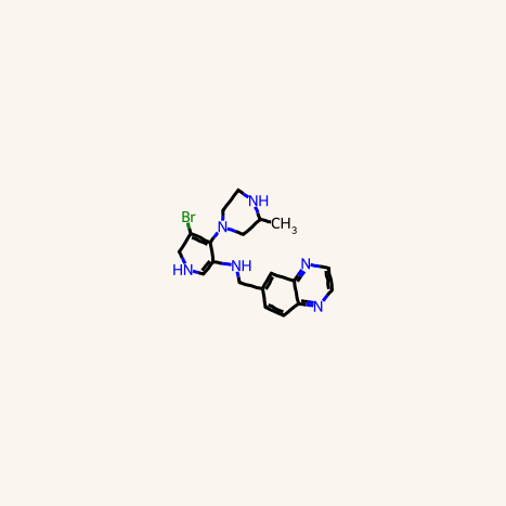 CC1CN(C2=C(Br)CNC=C2NCc2ccc3nccnc3c2)CCN1